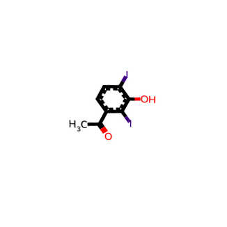 CC(=O)c1ccc(I)c(O)c1I